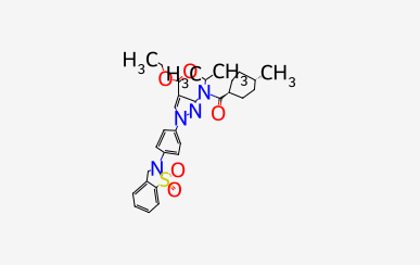 CCOC(=O)c1cn(-c2ccc(N3Cc4ccccc4S3(=O)=O)cc2)nc1N(C(=O)[C@H]1CC[C@H](C)CC1)C(C)C